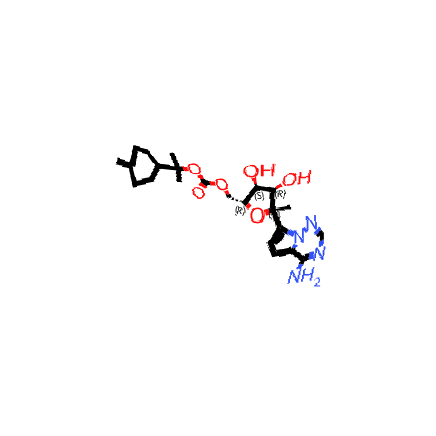 CC1=CCC(C(C)(C)OC(=O)OC[C@H]2O[C@@](C)(c3ccc4c(N)ncnn34)[C@H](O)[C@@H]2O)CC1